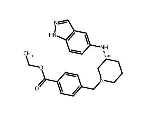 CCOC(=O)c1ccc(CN2CCC[C@@H](Nc3ccc4[nH]ncc4c3)C2)cc1